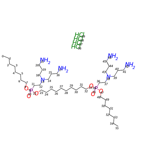 CCCCCCCCOP(=O)(CCN(CCCN)CCCN)OCCCCCCCCCCOP(=O)(CCN(CCCN)CCCN)OCCCCCCCC.Cl.Cl.Cl.Cl